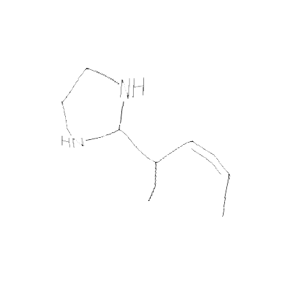 C/C=C\C(C)C1NCCN1